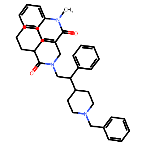 Cn1c(=O)c(CN(CC(c2ccccc2)C2CCN(Cc3ccccc3)CC2)C(=O)C2CCCCC2)cc2ccccc21